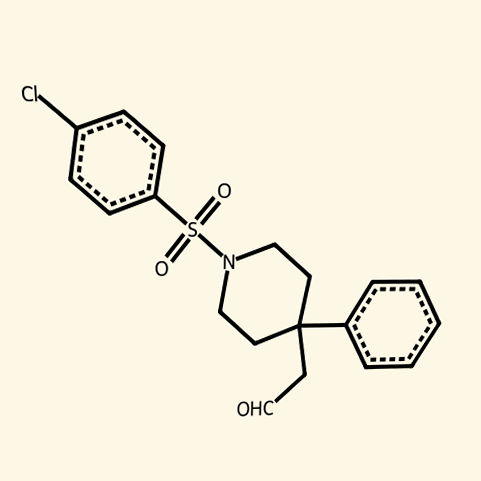 O=CCC1(c2ccccc2)CCN(S(=O)(=O)c2ccc(Cl)cc2)CC1